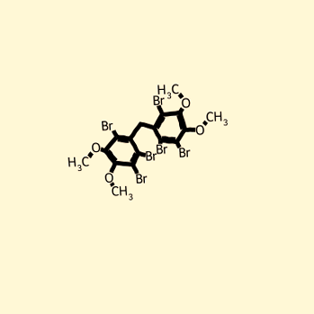 COc1c(Br)c(Br)c(Cc2c(Br)c(Br)c(OC)c(OC)c2Br)c(Br)c1OC